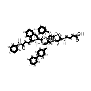 C[C@H](NC(=O)[C@@H](Cc1ccccc1)NC(=O)[C@H](Cc1ccc(-c2ccccc2)cc1)NC(=O)C(Cc1ccccc1)NC(=O)CCC(=O)Nc1ccccc1)C(=O)NCCCC(=O)O